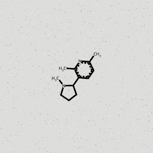 Cc1ccc(C2CCCN2C)c(C)n1